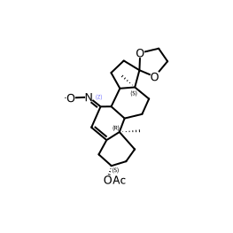 CC(=O)O[C@H]1CC[C@@]2(C)C(=C/C(=N\[O])C3C2CC[C@@]2(C)C3CCC23OCCO3)C1